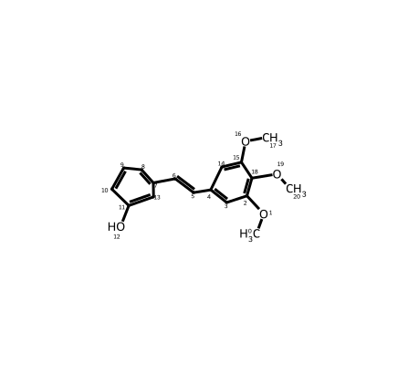 COc1cc(/C=C/c2cccc(O)c2)cc(OC)c1OC